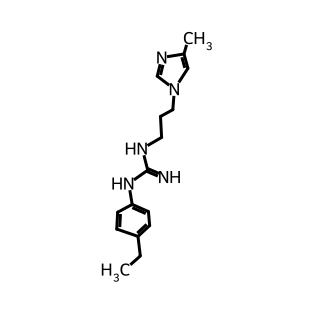 CCc1ccc(NC(=N)NCCCn2cnc(C)c2)cc1